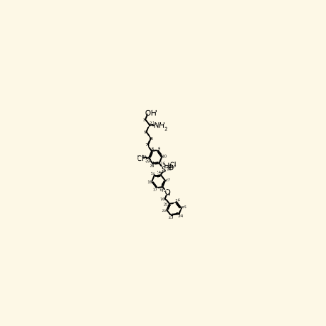 Cl.NC(CO)CCCc1ccc([S+]([O-])c2cccc(OCc3ccccc3)c2)cc1Cl